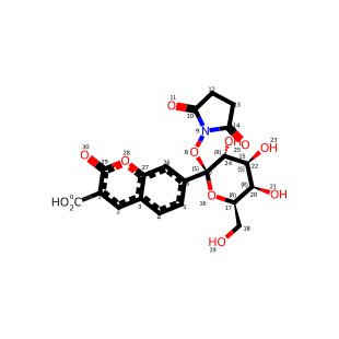 O=C(O)c1cc2ccc([C@@]3(ON4C(=O)CCC4=O)O[C@H](CO)[C@H](O)[C@H](O)[C@H]3O)cc2oc1=O